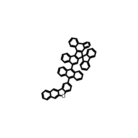 c1ccc2c(c1)-c1ccccc1C21c2cc(-c3c4ccccc4c(-c4ccc5oc6cc7ccccc7cc6c5c4)c4ccccc34)c3ccccc3c2-c2c1c1ccccc1c1ccccc21